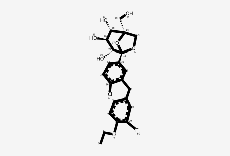 CCOc1ccc(Cc2cc([C@]34OC[C@@](CO)(O3)[C@@H](O)[C@H](O)[C@H]4O)ccc2Cl)cc1F